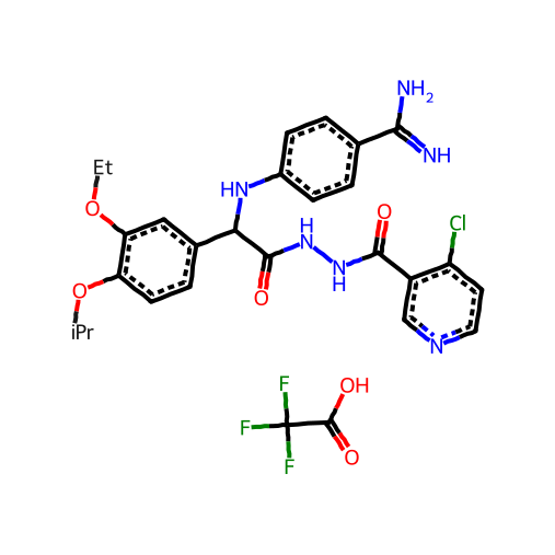 CCOc1cc(C(Nc2ccc(C(=N)N)cc2)C(=O)NNC(=O)c2cnccc2Cl)ccc1OC(C)C.O=C(O)C(F)(F)F